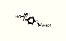 CCCCCCCCOc1ccc(OB(O)O)cc1